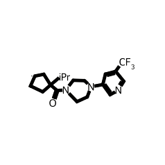 CC(C)C1(C(=O)N2CCN(c3cncc(C(F)(F)F)c3)CC2)C[CH]CC1